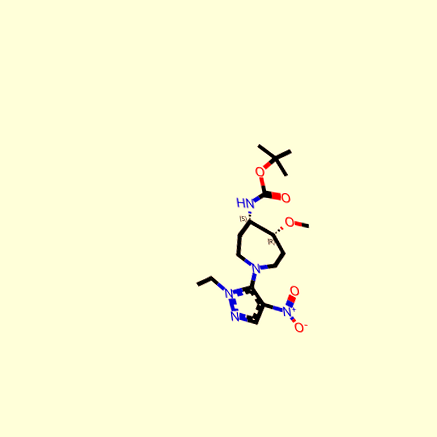 CCn1ncc([N+](=O)[O-])c1N1CC[C@H](NC(=O)OC(C)(C)C)[C@H](OC)CC1